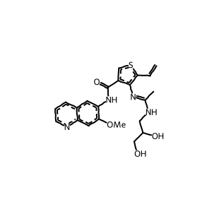 C=Cc1scc(C(=O)Nc2cc3cccnc3cc2OC)c1/N=C(\C)NCC(O)CO